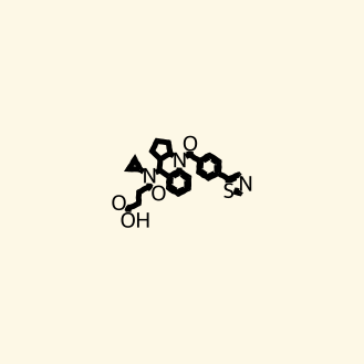 O=C(O)CCC(=O)N(C1CC1)C1c2ccccc2N(C(=O)c2ccc(-c3cncs3)cc2)C2CCCC21